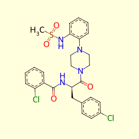 CS(=O)(=O)Nc1ccccc1N1CCN(C(=O)[C@@H](Cc2ccc(Cl)cc2)NC(=O)c2ccccc2Cl)CC1